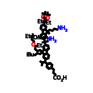 CCC(C)CCCC1(CCCC(CC)OCCC(C)(CC)OC)c2cc(C(=C(C)C)c3ccc(CCCC(=O)O)cc3)ccc2-c2ccc(C(C)(CN)c3ccc4c(c3)C(C)(CCCCN)c3cc(C(CC)(CC)B5OC(C)(C)C(C)(C)O5)ccc3-4)cc21